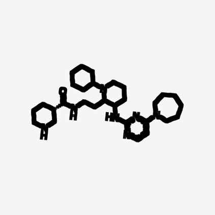 O=C(NCCC1C(Nc2nccc(N3CCCCCC3)n2)CCCN1C1CCCCC1)[C@H]1CCCNC1